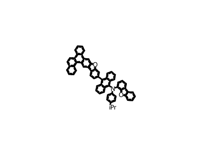 CC(C)c1ccc(N(c2c3ccccc3c(-c3ccc4c(c3)oc3cc5c6ccccc6c6ccc7ccccc7c6c5cc34)c3ccccc23)c2cccc3c2oc2ccccc23)cc1